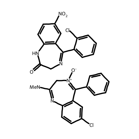 CNC1=Nc2ccc(Cl)cc2C(c2ccccc2)=[N+]([O-])C1.O=C1CN=C(c2ccccc2Cl)c2cc([N+](=O)[O-])ccc2N1